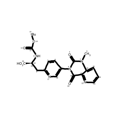 Cn1c(=O)n(-c2ccc(C[C@H](NC(=O)OC(C)(C)C)C(=O)O)nc2)c(=O)c2ncccc21